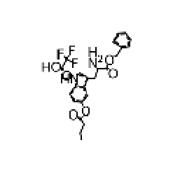 CCCC(=O)Oc1ccc2[nH]cc(CC(N)C(=O)OCc3ccccc3)c2c1.O=C(O)C(F)(F)F